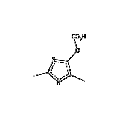 Cc1nc(C)c(OC(=O)O)s1